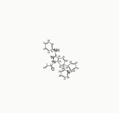 C=CC(=O)n1nc(Nc2ccccc2)c2c1CC(c1ccccc1)(c1ccccn1)C=C2